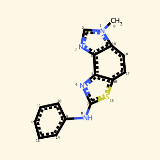 Cn1cnc2c3nc(Nc4ccccc4)sc3ccc21